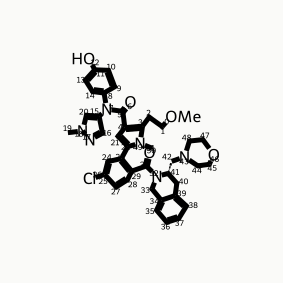 COCCc1c(C(=O)N(c2ccc(O)cc2)c2cnn(C)c2)cc(-c2cc(Cl)ccc2C(=O)N2Cc3ccccc3C[C@H]2CN2CCOCC2)n1C